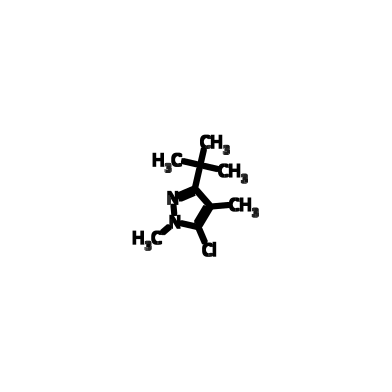 Cc1c(C(C)(C)C)nn(C)c1Cl